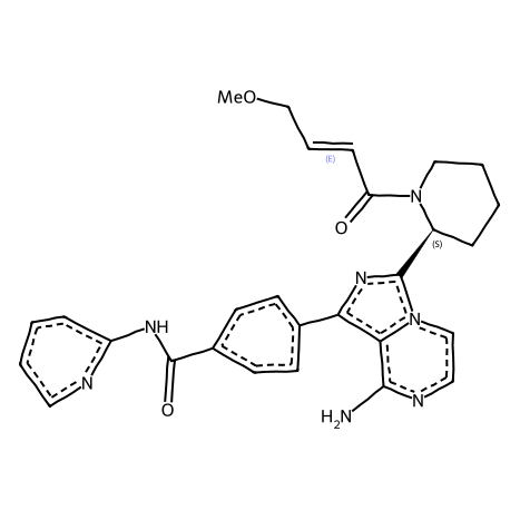 COC/C=C/C(=O)N1CCCC[C@H]1c1nc(-c2ccc(C(=O)Nc3ccccn3)cc2)c2c(N)nccn12